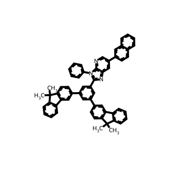 CC1(C)c2ccccc2-c2cc(-c3cc(-c4ccc5c(c4)-c4ccccc4C5(C)C)cc(-c4nc5cc(-c6ccc7ccccc7c6)cnc5n4-c4ccccc4)c3)ccc21